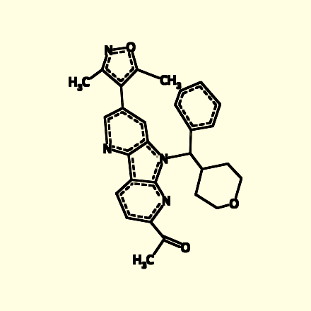 CC(=O)c1ccc2c3ncc(-c4c(C)noc4C)cc3n(C(c3ccccc3)C3CCOCC3)c2n1